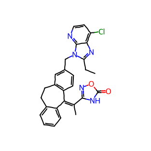 CCc1nc2c(Cl)ccnc2n1Cc1ccc2c(c1)CCc1ccccc1C2=C(C)c1noc(=O)[nH]1